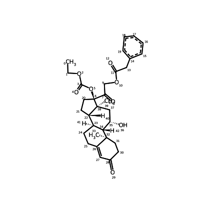 CCOC(=O)O[C@]1(C(=O)COC(=O)Cc2ccccc2)CC[C@H]2[C@@H]3CCC4=CC(=O)CC[C@]4(C)[C@H]3[C@@H](O)C[C@@]21C